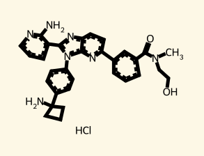 CN(CCO)C(=O)c1cccc(-c2ccc3nc(-c4cccnc4N)n(-c4ccc(C5(N)CCC5)cc4)c3n2)c1.Cl